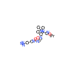 CC(C)Oc1ccc(-c2nn(C(c3ccccc3)(c3ccccc3)c3ccccc3)c3ccc(N4CCC5(CCN(CC(=O)N6CC=C(c7ccc(-c8ncn(C)n8)cc7)CC6)C5)C4=O)cc23)cn1